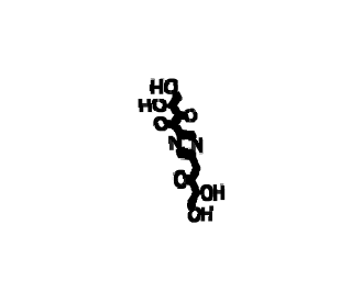 O=C(C(=O)[C@H](O)CO)c1cnc(CC(=O)[C@H](O)CO)cn1